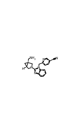 N#Cc1ccc(Cn2c(N3C[C@@H]4C[C@]4(CN)C3)nc3ccccc32)nc1